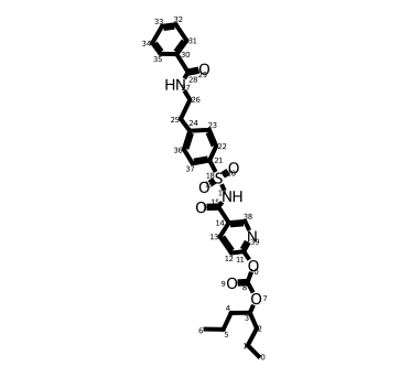 CCCC(CCC)OC(=O)Oc1ccc(C(=O)NS(=O)(=O)c2ccc(CCNC(=O)c3ccccc3)cc2)cn1